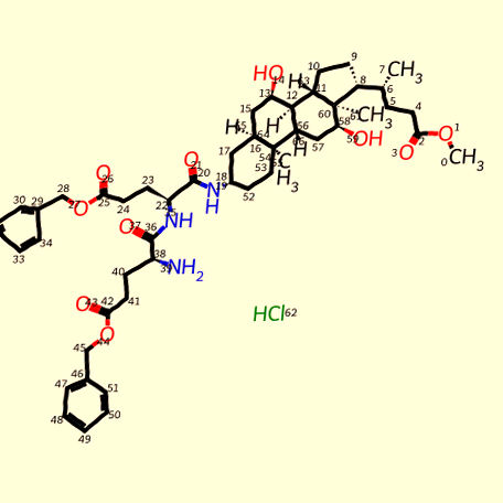 COC(=O)CC[C@@H](C)[C@H]1CC[C@H]2[C@@H]3[C@H](O)C[C@@H]4C[C@@H](NC(=O)[C@H](CCC(=O)OCc5ccccc5)NC(=O)[C@@H](N)CCC(=O)OCc5ccccc5)CC[C@]4(C)[C@H]3C[C@H](O)[C@]12C.Cl